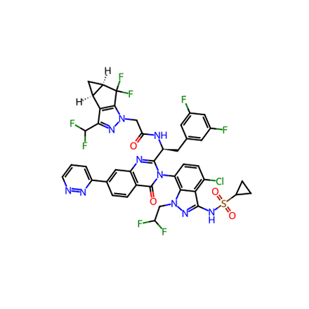 O=C(Cn1nc(C(F)F)c2c1C(F)(F)[C@@H]1C[C@H]21)N[C@@H](Cc1cc(F)cc(F)c1)c1nc2cc(-c3cccnn3)ccc2c(=O)n1-c1ccc(Cl)c2c(NS(=O)(=O)C3CC3)nn(CC(F)F)c12